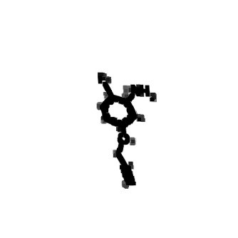 C#CCOc1ccc(F)c(N)c1